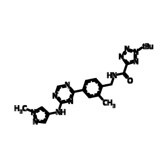 Cc1cc(-c2ncnc(Nc3cnn(C)c3)n2)ccc1CNC(=O)c1nnn(C(C)(C)C)n1